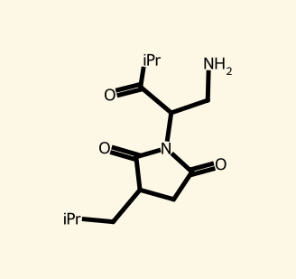 CC(C)CC1CC(=O)N(C(CN)C(=O)C(C)C)C1=O